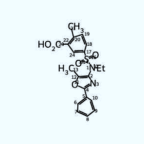 CCN(c1nc(-c2ccccc2)oc1C)S(=O)(=O)c1ccc(C)c(C(=O)O)c1